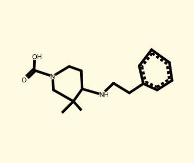 CC1(C)CN(C(=O)O)CCC1NCCc1ccccc1